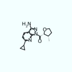 C[C@H]1CCO[C@H]1C(=O)n1nc(N)c2ccc(C3CC3)nc21